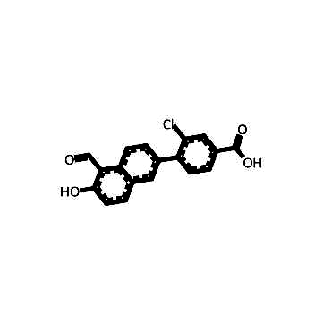 O=Cc1c(O)ccc2cc(-c3ccc(C(=O)O)cc3Cl)ccc12